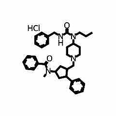 CCCN(C(=O)NCc1ccccc1)C1CCN(CC2CC(N(C)C(=O)c3ccccc3)CC2c2ccccc2)CC1.Cl